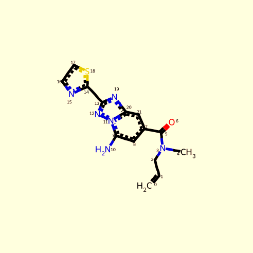 C=CCN(C)C(=O)c1cc(N)n2nc(-c3nccs3)nc2c1